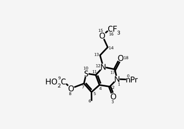 CCCn1c(=O)c2c(C)c(OC(=O)O)sc2n(CCOC(F)(F)F)c1=O